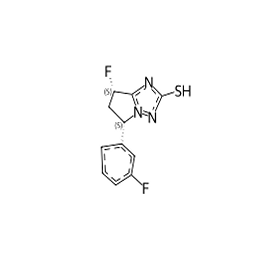 Fc1cccc([C@@H]2C[C@H](F)c3nc(S)nn32)c1